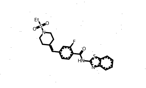 CCS(=O)(=O)N1CCC(=Cc2ccc(C(=O)Nc3nc4ccccc4s3)c(F)c2)CC1